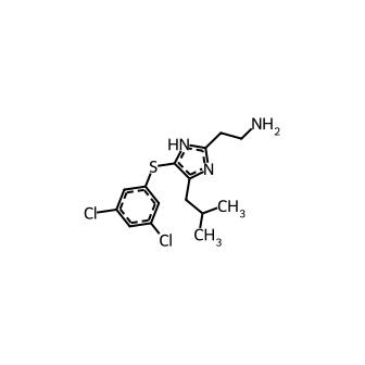 CC(C)Cc1nc(CCN)[nH]c1Sc1cc(Cl)cc(Cl)c1